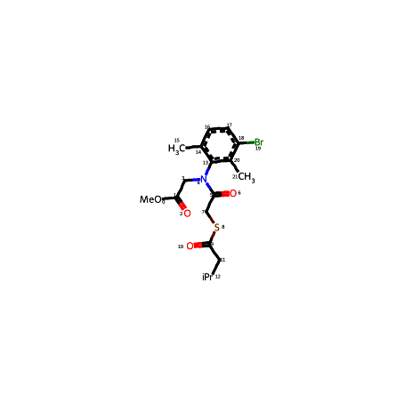 COC(=O)CN(C(=O)CSC(=O)CC(C)C)c1c(C)ccc(Br)c1C